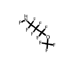 FNC(F)(F)C(F)(F)C(F)(F)OC(F)(F)F